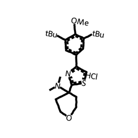 COc1c(C(C)(C)C)cc(-c2csc(C3(N(C)C)CCOCC3)n2)cc1C(C)(C)C.Cl